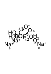 O.O.O.O=C([O-])O.O=C([O-])[O-].[Na+].[Na+].[Na+]